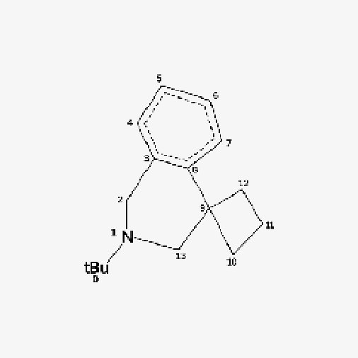 CC(C)(C)N1Cc2ccccc2C2(CCC2)C1